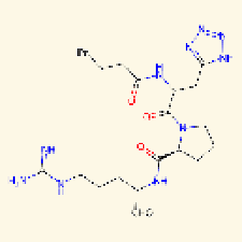 CC(C)CCC(=O)NC(Cc1nnn[nH]1)C(=O)N1CCC[C@H]1C(=O)N[C@H](C=O)CCCNC(=N)N